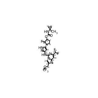 CC1(NC(=O)O[C@@H]2CC[C@H](c3cc(Nc4nc(C(F)F)cc5nc(COC(F)(F)F)cn45)n[nH]3)[C@H]2F)CC1